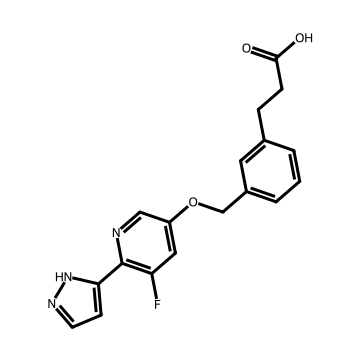 O=C(O)CCc1cccc(COc2cnc(-c3ccn[nH]3)c(F)c2)c1